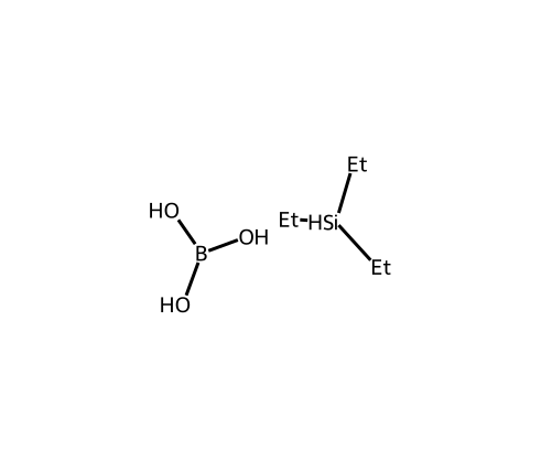 CC[SiH](CC)CC.OB(O)O